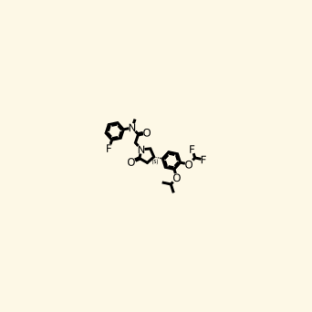 CC(C)Oc1cc([C@@H]2CC(=O)N(CC(=O)N(C)c3cccc(F)c3)C2)ccc1OC(F)F